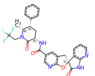 C[C@@H]1[C@H](c2ccccc2)C[C@H](NC(=O)c2cnc3c(c2)C[C@@]2(O3)C(=O)Nc3ncccc32)C(=O)N1CC(F)(F)F